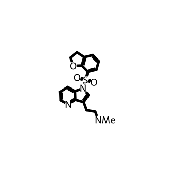 CNCCc1cn(S(=O)(=O)c2cccc3c2OCC3)c2cccnc12